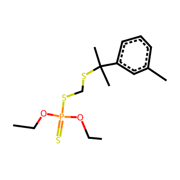 CCOP(=S)(OCC)SCSC(C)(C)c1cccc(C)c1